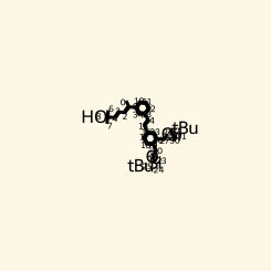 CC(=CC=CC(C)(C)O)c1cccc(C=Cc2ccc(CO[Si](C)(C)C(C)(C)C)c(CO[Si](C)(C)C(C)(C)C)c2)c1